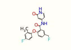 Cc1cc(F)ccc1Oc1ccc(CF)cc1C(=O)Nc1cc[nH]c(=O)c1